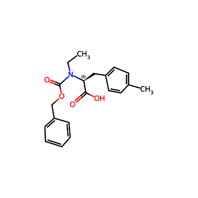 CCN(C(=O)OCc1ccccc1)[C@@H](Cc1ccc(C)cc1)C(=O)O